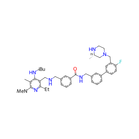 CCc1nc(NC)c(C)c(NC(C)CC)c1CNCc1cccc(C(=O)NCc2cccc(-c3ccc(F)c(CN4CCN[C@@H](C)C4)c3)c2)c1